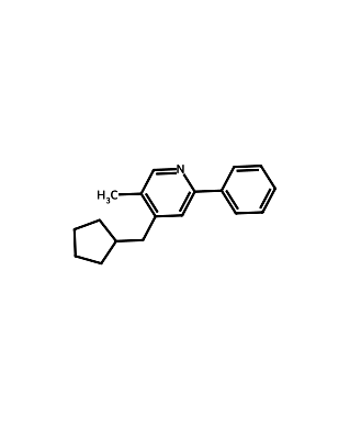 Cc1cnc(-c2ccccc2)cc1CC1CCCC1